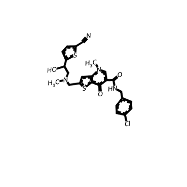 CN(Cc1cc2c(s1)c(=O)c(C(=O)NCc1ccc(Cl)cc1)cn2C)CC(O)c1ccc(C#N)s1